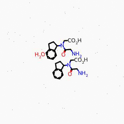 NCC(=O)N(CC(=O)O)C1CCc2ccccc21.NCC(=O)N(CC(=O)O)C1CCc2ccccc21.O